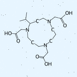 CC(C)C1CCN(CC(=O)O)CCCN(CC(=O)O)CCCN1CC(=O)O